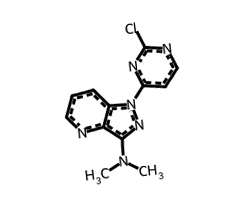 CN(C)c1nn(-c2ccnc(Cl)n2)c2cccnc12